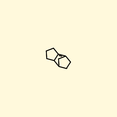 [CH]1CC2=C3CCCC3C1C2